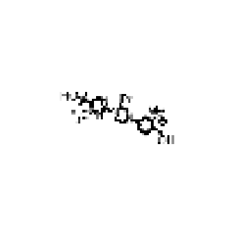 CC(C)C1CN(c2ccc(CO)c(S(C)(=O)=O)c2)CCN1c1ncc(C(C)(C)O)c(C(F)(F)F)n1